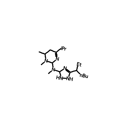 CCCCC(CC)C1=NC(N(C)C2N=C(C(C)C)CC(C)N2C)NN1